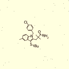 Cc1ccc2c(c1)c(SC(C)(C)C)c(CC(C)(C)C(N)=O)n2Cc1ccc(Cl)cc1